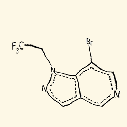 FC(F)(F)Cn1ncc2cncc(Br)c21